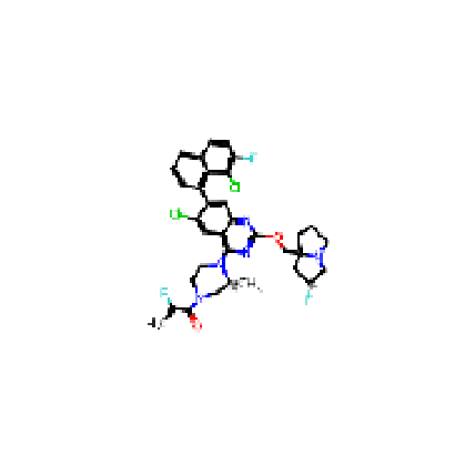 C=C(F)C(=O)N1CCN(c2nc(OCC34CCCN3C[C@H](F)C4)nc3cc(-c4cccc5ccc(F)c(Cl)c45)c(Cl)cc23)[C@@H](C)C1